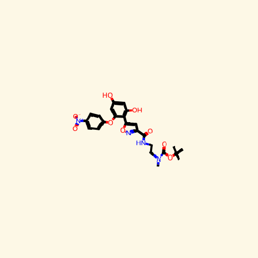 CN(CCNC(=O)c1cc(-c2c(O)cc(O)cc2Oc2ccc([N+](=O)[O-])cc2)on1)C(=O)OC(C)(C)C